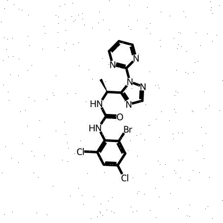 C[C@H](NC(=O)Nc1c(Cl)cc(Cl)cc1Br)c1ncnn1-c1ncccn1